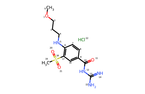 COCCCNc1ccc(C(=O)NC(=N)N)cc1S(C)(=O)=O.Cl